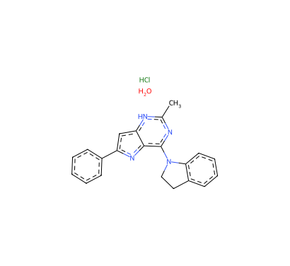 Cc1nc(N2CCc3ccccc32)c2nc(-c3ccccc3)cc-2[nH]1.Cl.O